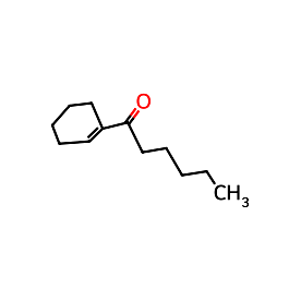 CCCCCC(=O)C1=CCCCC1